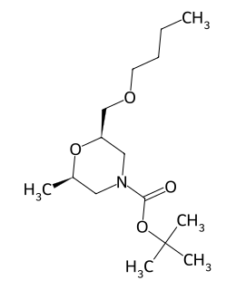 CCCCOC[C@H]1CN(C(=O)OC(C)(C)C)C[C@@H](C)O1